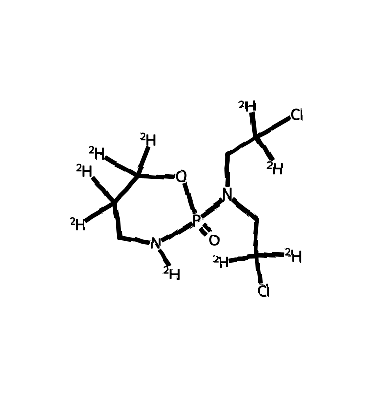 [2H]N1CC([2H])([2H])C([2H])([2H])OP1(=O)N(CC([2H])([2H])Cl)CC([2H])([2H])Cl